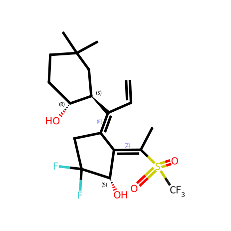 C=C/C(=C1/CC(F)(F)[C@@H](O)/C1=C(/C)S(=O)(=O)C(F)(F)F)[C@@H]1CC(C)(C)CC[C@H]1O